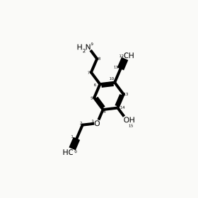 C#CCOc1cc(CCN)c(C#C)cc1O